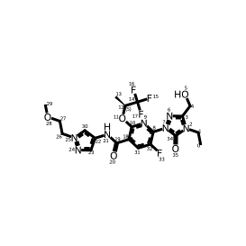 CCn1c(CO)nn(-c2nc(O[C@@H](C)C(F)(F)F)c(C(=O)Nc3cnn(CCOC)c3)cc2F)c1=O